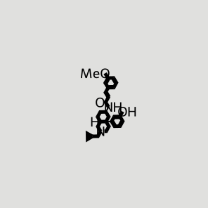 COc1cccc(C=CC(=O)N[C@@H]2CC[C@@H]3CN(CC4CC4)CC[C@@]3(c3cccc(O)c3)C2)c1